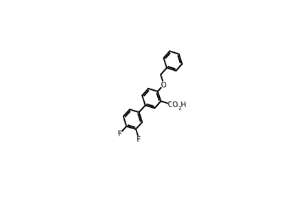 O=C(O)c1cc(-c2ccc(F)c(F)c2)ccc1OCc1ccccc1